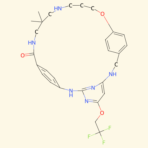 CC1(C)CNCCCOc2ccc(cc2)CNc2cc(OCC(F)(F)F)nc(n2)Nc2ccc(cc2)C(=O)NC1